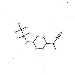 CC(C#N)C1CCC(O[Si](C)(C)C(C)(C)C)CC1